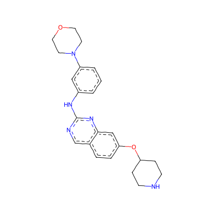 c1cc(Nc2ncc3ccc(OC4CCNCC4)cc3n2)cc(N2CCOCC2)c1